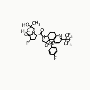 CC(C)(O)CN1C(=O)[C@H](F)C[C@H]1C(=O)N1CCC2(S(=O)(=O)c3ccc(F)cc3)c3ccc(C(F)(C(F)(F)F)C(F)(F)F)nc3CCC12